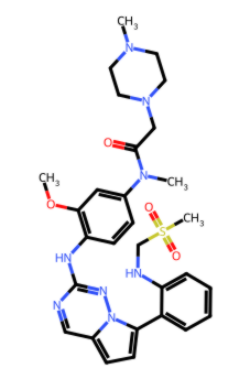 COc1cc(N(C)C(=O)CN2CCN(C)CC2)ccc1Nc1ncc2ccc(-c3ccccc3NCS(C)(=O)=O)n2n1